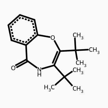 CC(C)(C)C1=C(C(C)(C)C)Oc2ccccc2C(=O)N1